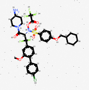 COc1cc(C(F)(F)[C@H](C(=O)N2CCC(N)CC2)N(OC(=O)C(F)(F)F)S(=O)(=O)c2ccc(OCC3CCCCC3)cc2)ccc1-c1ccc(Cl)cc1